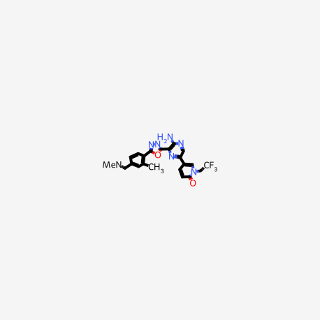 CNCc1ccc(-c2nnc(-c3nc(-c4ccc(=O)n(CC(F)(F)F)c4)cnc3N)o2)c(C)c1